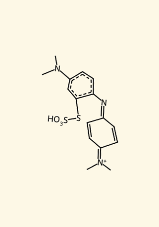 CN(C)c1ccc(N=C2C=CC(=[N+](C)C)C=C2)c(SS(=O)(=O)O)c1